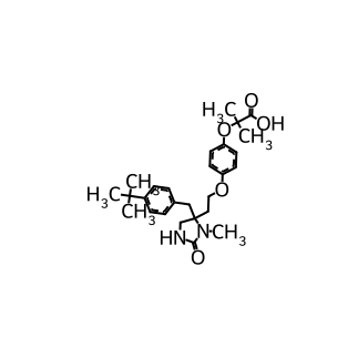 CN1C(=O)NCC1(CCOc1ccc(OC(C)(C)C(=O)O)cc1)Cc1ccc(C(C)(C)C)cc1